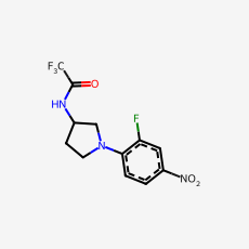 O=C(NC1CCN(c2ccc([N+](=O)[O-])cc2F)C1)C(F)(F)F